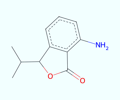 CC(C)C1OC(=O)c2c(N)cccc21